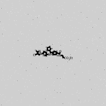 CCOC(=O)C=CNC(=O)c1ccc(C(Nc2ccc(-n3cc(Cl)c(C)n3)nc2)C2CCCC2)cc1